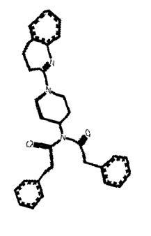 O=C(Cc1ccccc1)N(C(=O)Cc1ccccc1)C1CCN(C2=Nc3ccccc3CC2)CC1